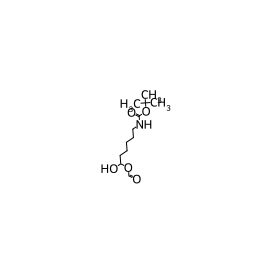 CC(C)(C)OC(=O)NCCCCCC(O)OC=O